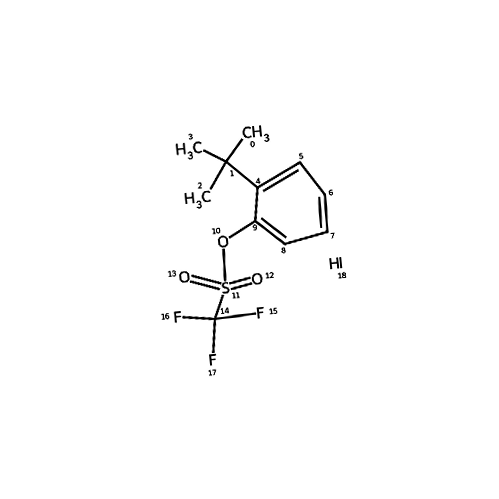 CC(C)(C)c1ccccc1OS(=O)(=O)C(F)(F)F.I